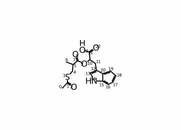 CC(=O)SCC(C)C(=O)OC(Cc1c[nH]c2ccccc12)C(=O)O